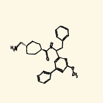 COc1cc(-c2ccccc2)cc(C(Cc2ccccc2)NC(=O)[C@H]2CC[C@H](CN)CC2)n1